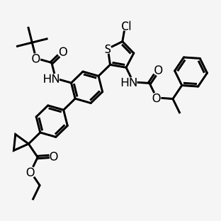 CCOC(=O)C1(c2ccc(-c3ccc(-c4sc(Cl)cc4NC(=O)OC(C)c4ccccc4)cc3NC(=O)OC(C)(C)C)cc2)CC1